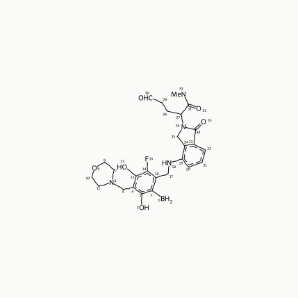 Bc1c(O)c(CN2CCOCC2)c(O)c(F)c1CNc1cccc2c1CN(C(CCC=O)C(=O)NC)C2=O